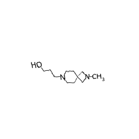 CN1CC2(CCN(CCCO)CC2)C1